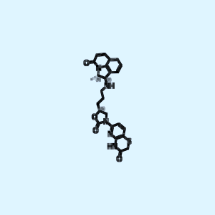 C[C@H]1[C@H](NCCC[C@H]2CN(c3ccc4c(n3)NC(=O)CS4)C(=O)O2)c2cccc3ccc(=O)n1c23